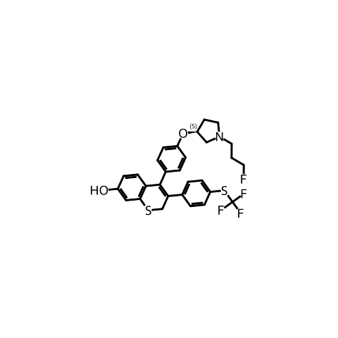 Oc1ccc2c(c1)SCC(c1ccc(SC(F)(F)F)cc1)=C2c1ccc(O[C@H]2CCN(CCCF)C2)cc1